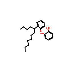 CCCCCCCC(CCCC)c1ccccc1Oc1ccccc1O